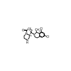 CC1c2c(Cl)cc(Cl)cc2CCN1C(=O)[C@H]1CNCCN1C(=O)C(F)(F)F